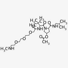 CNCCOCCOCCOCC(=O)NC(C(=O)N1CC(OC(C)=O)CC1C(=O)NCC(C)C)C(C)(C)C